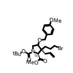 C=CC[C@]1(CCCBr)C(OCc2ccc(OC)cc2)CN(C(=O)OC(C)(C)C)[C@@H]1C(=O)OC